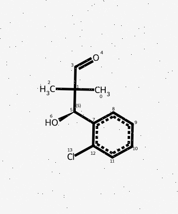 CC(C)(C=O)[C@H](O)c1ccccc1Cl